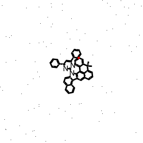 CC1(C)c2ccccc2-c2c3c1cccc3cc1c3c4ccccc4ccc3n(-c3nc(-c4ccccc4)cc(-c4ccccc4)n3)c21